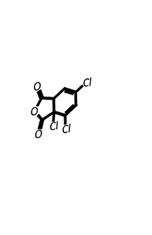 O=C1OC(=O)C2(Cl)C(Cl)=CC(Cl)=CC12